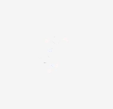 COc1ccc(OC(F)(F)F)cc1/C=N/c1cccc([N+](=O)[O-])c1